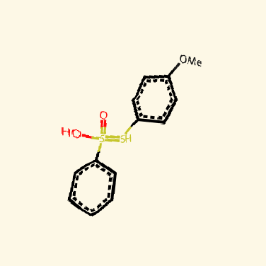 COc1ccc([SH]=S(=O)(O)c2ccccc2)cc1